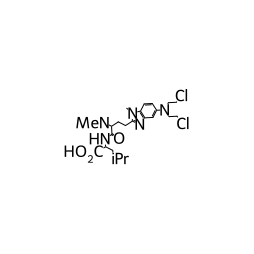 CNC(CCc1nc2cc(N(CCCl)CCCl)ccc2n1C)C(=O)NC(CC(C)C)C(=O)O